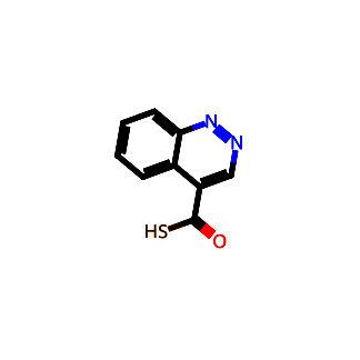 O=C(S)c1cnnc2ccccc12